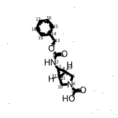 O=C(NC1[C@H]2CN(C(=O)O)C[C@@H]12)OCc1ccccc1